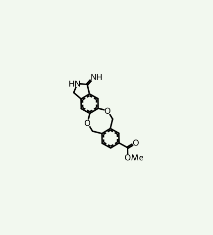 COC(=O)c1ccc2c(c1)COc1cc3c(cc1OC2)CNC3=N